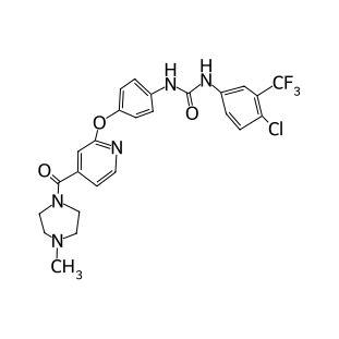 CN1CCN(C(=O)c2ccnc(Oc3ccc(NC(=O)Nc4ccc(Cl)c(C(F)(F)F)c4)cc3)c2)CC1